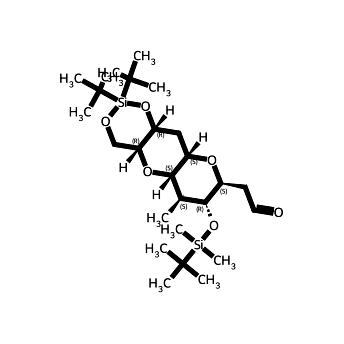 C[C@@H]1[C@@H](O[Si](C)(C)C(C)(C)C)[C@H](CC=O)O[C@H]2C[C@H]3O[Si](C(C)(C)C)(C(C)(C)C)OC[C@H]3O[C@@H]12